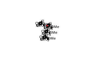 COP(=S)(OC)Oc1cc(Cl)c(Cl)cc1Cl.COP(=S)(OC)Oc1cc(Cl)c(Cl)cc1Cl.COP(=S)(OC)Oc1cc(Cl)c(Cl)cc1Cl.COP(=S)(OC)Oc1cc(Cl)c(Cl)cc1Cl